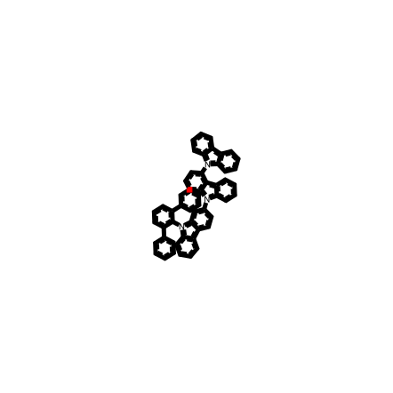 c1ccc(-c2cccc(-c3ccccc3)c2-n2c3ccccc3c3ccc(-n4c5ccccc5c5c(-n6c7ccccc7c7ccccc76)cccc54)cc32)cc1